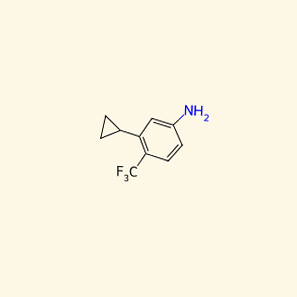 Nc1ccc(C(F)(F)F)c(C2CC2)c1